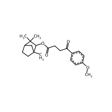 COc1ccc(C(=O)CCC(=O)OC2C3(C)CCC(C3)C2(C)C)cc1